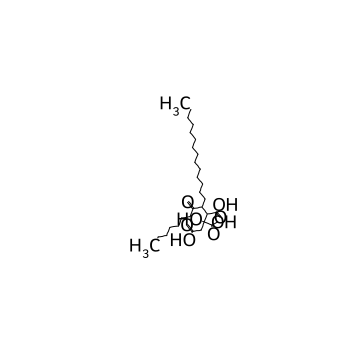 CCCCCCCCCCCCCCC(C(=O)CCCCCCC)C(C(=O)O)C(O)(CC(=O)O)C(=O)O